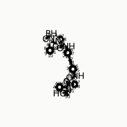 BC(=O)N(C)[C@@H](Cc1ccccc1)C(=O)N1CCC[C@H]1C(=O)Nc1ccc(C#Cc2ccc(NC(=O)[C@@H]3CCCN3C(=O)[C@H](c3ccccc3)N(C)B(C)O)cc2)cc1